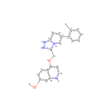 COc1ccc2c(OCc3nnc4ccc(-c5ccccc5C)cn34)ccnc2c1